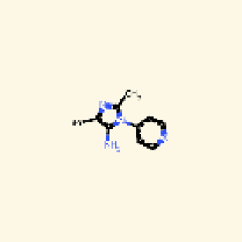 Cc1nc(C(C)C)c(N)n1-c1ccncc1